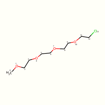 COCCOCCOCCOCCCl